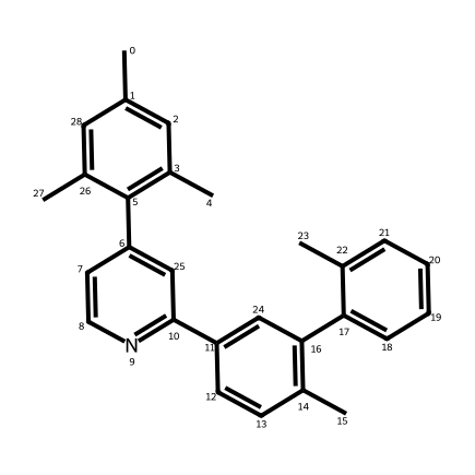 Cc1cc(C)c(-c2ccnc(-c3ccc(C)c(-c4ccccc4C)c3)c2)c(C)c1